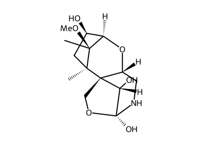 CO[C@@]1(C)[C@@H]2O[C@@H]3CN[C@@]4(O)OC[C@@]3([C@@H]4O)[C@@]1(C)C[C@H]2O